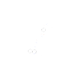 Cc1cc(N2CCN(C(=O)C3CCCN(S(=O)(=O)c4ccc(C(=O)N(C)C)cc4)C3)CC2)c2ccccc2n1